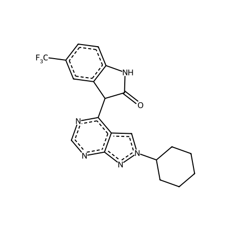 O=C1Nc2ccc(C(F)(F)F)cc2C1c1ncnc2nn(C3CCCCC3)cc12